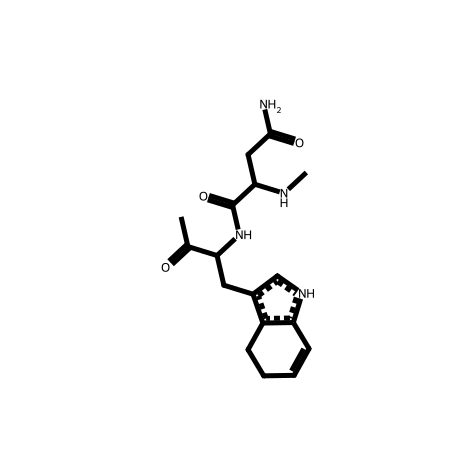 CNC(CC(N)=O)C(=O)NC(Cc1c[nH]c2c1CCC=C2)C(C)=O